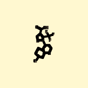 O=C(O)c1cnn(-c2ccnc3cc(Cl)ccc23)c1C(F)(F)F